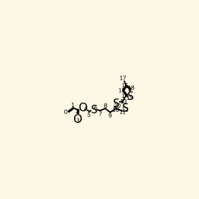 C=CC(=O)OCSCCCC1CSC(c2cc(C)cs2)S1